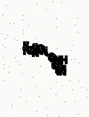 Cc1nsc(CC(=O)N[C@H]2CC[C@H](CCN3CCc4sc(OCC(C)(F)F)nc4C3)CC2)n1